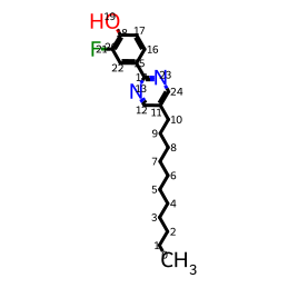 CCCCCCCCCCCc1cnc(-c2ccc(O)c(F)c2)nc1